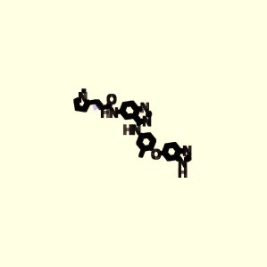 Cc1cc(Nc2ncnc3ccc(NC(=O)/C=C/c4cccn4C)cc23)ccc1Oc1ccc2nc[nH]c2c1